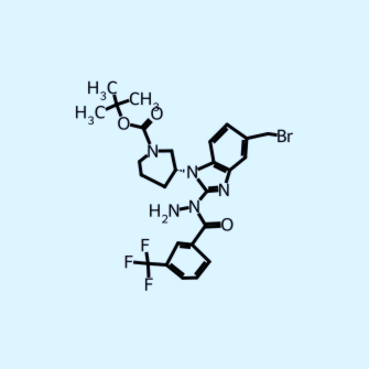 CC(C)(C)OC(=O)N1CCC[C@@H](n2c(N(N)C(=O)c3cccc(C(F)(F)F)c3)nc3cc(CBr)ccc32)C1